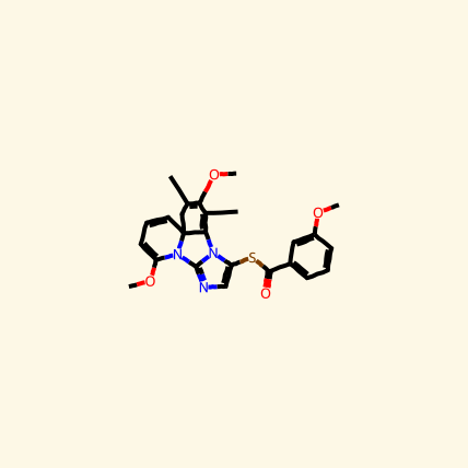 COC1=CC=CC23CC(C)=C(OC)C(C)=C2n2c(SC(=O)c4cccc(OC)c4)cnc2N13